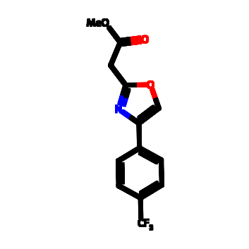 COC(=O)Cc1nc(-c2ccc(C(F)(F)F)cc2)co1